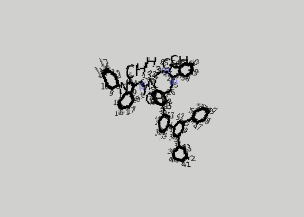 CC/C(=C\c1c(C)n(-c2ccccc2)c2ccccc12)N1C/C=C2\C(=C/Cc3cc(-c4cccc(-c5cc(-c6ccccc6)cc(-c6ccccc6)c5)c4)ccc31)c1ccccc1C2(C)C